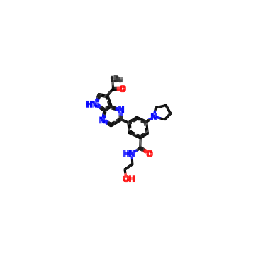 CC(C)(C)C(=O)c1c[nH]c2ncc(-c3cc(C(=O)NCCO)cc(N4CCCC4)c3)nc12